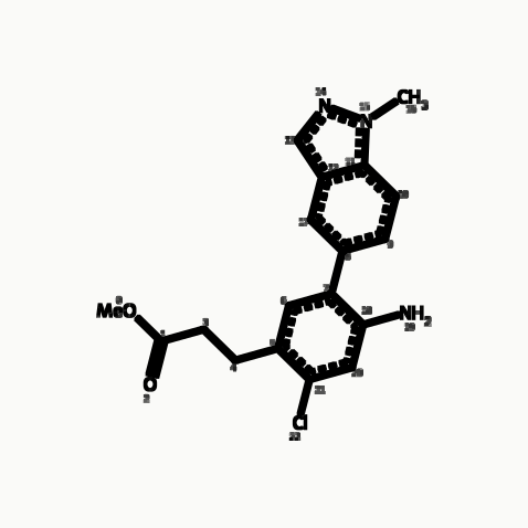 COC(=O)CCc1cc(-c2ccc3c(cnn3C)c2)c(N)cc1Cl